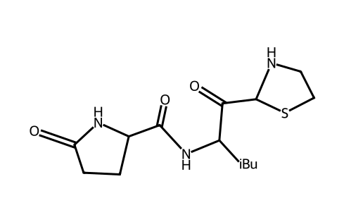 CCC(C)C(NC(=O)C1CCC(=O)N1)C(=O)C1NCCS1